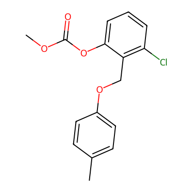 COC(=O)Oc1cccc(Cl)c1COc1ccc(C)cc1